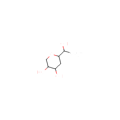 O=C(O)C(O)C1CC(O)C(O)CO1